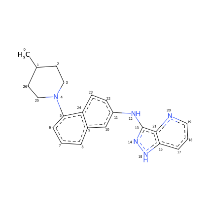 CC1CCN(c2cccc3cc(Nc4n[nH]c5cccnc45)ccc23)CC1